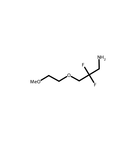 COCCOCC(F)(F)CN